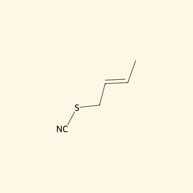 CC=CCSC#N